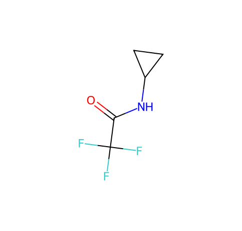 O=C(NC1CC1)C(F)(F)F